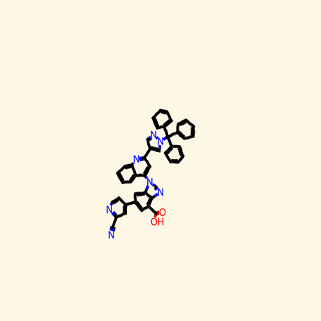 N#Cc1cc(-c2cc(C(=O)O)c3ncn(-c4cc(-c5cnn(C(c6ccccc6)(c6ccccc6)c6ccccc6)c5)nc5ccccc45)c3c2)ccn1